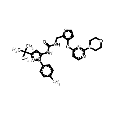 Cc1ccc(-n2nc(C(C)(C)C)cc2NC(=O)NCc2sccc2Oc2ccnc(N3CCOCC3)n2)cc1